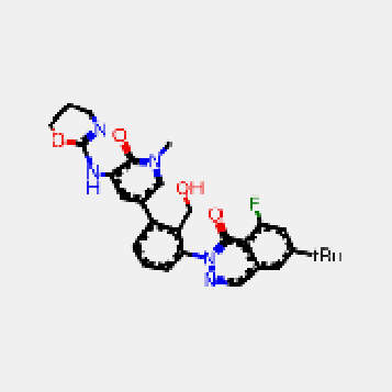 Cn1cc(-c2cccc(-n3ncc4cc(C(C)(C)C)cc(F)c4c3=O)c2CO)cc(NC2=NCCCO2)c1=O